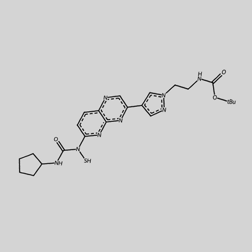 CC(C)(C)OC(=O)NCCn1cc(-c2cnc3ccc(N(S)C(=O)NC4CCCC4)nc3n2)cn1